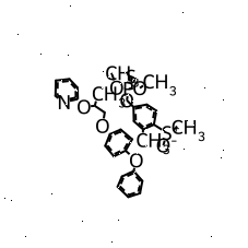 CC(COc1ccc(Oc2ccccc2)cc1)Oc1ccccn1.COP(=S)(OC)Oc1ccc([S+](C)[O-])c(C)c1